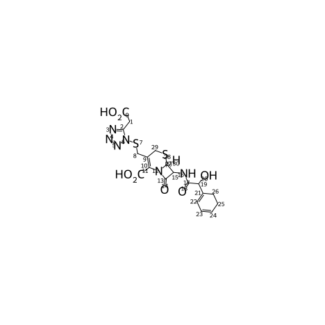 O=C(O)Cc1nnnn1SCC1=C(C(=O)O)N2C(=O)C(NC(=O)C(O)C3=CC=CCC3)[C@@H]2SC1